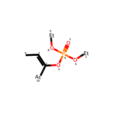 CC=C(OP(=O)(OCC)OCC)C(C)=O